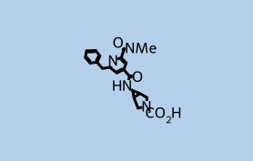 CNC(=O)c1cc(C(=O)NC2C3CN(C(=O)O)CC32)cc(Cc2ccccc2)n1